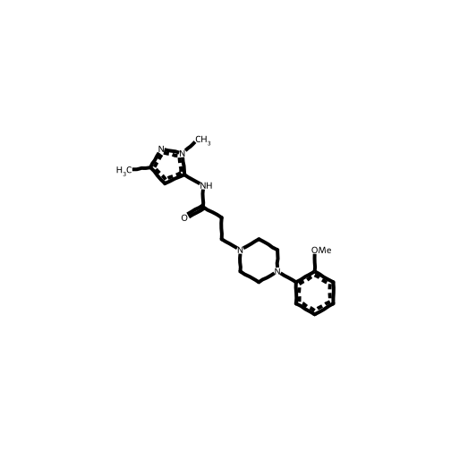 COc1ccccc1N1CCN(CCC(=O)Nc2cc(C)nn2C)CC1